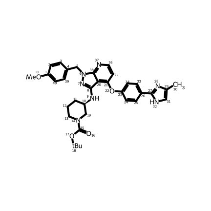 COc1ccc(Cn2nc(N[C@@H]3CCCN(C(=O)OC(C)(C)C)C3)c3c(Oc4ccc(-c5nc(C)c[nH]5)cc4)ccnc32)cc1